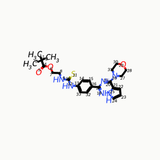 CC(C)(C)C(=O)OCCNC(=S)Nc1ccc(C(=N)/N=C(\c2ccc[nH]2)N2CCOCC2)cc1